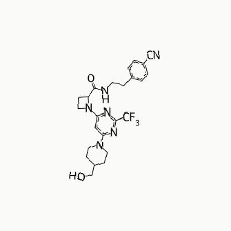 N#Cc1ccc(CCNC(=O)C2CCN2c2cc(N3CCC(CO)CC3)nc(C(F)(F)F)n2)cc1